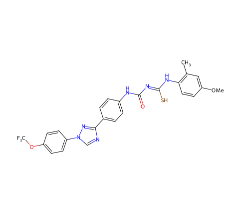 COc1ccc(N/C(S)=N/C(=O)Nc2ccc(-c3ncn(-c4ccc(OC(F)(F)F)cc4)n3)cc2)c(C)c1